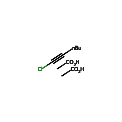 CC(=O)O.CC(=O)O.CCCCC#CCl